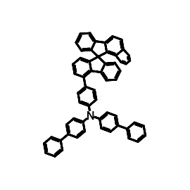 c1ccc(-c2ccc(N(c3ccc(-c4ccccc4)cc3)c3ccc(-c4cccc5c4-c4ccccc4C54c5ccccc5-c5ccc6ccccc6c54)cc3)cc2)cc1